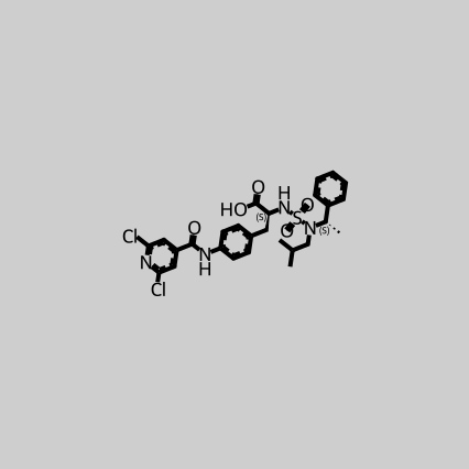 CC(C)CN([C@@H](C)c1ccccc1)S(=O)(=O)N[C@@H](Cc1ccc(NC(=O)c2cc(Cl)nc(Cl)c2)cc1)C(=O)O